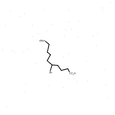 CCCCCCCCCCCCCC(CCCC(=O)O)C(C)C